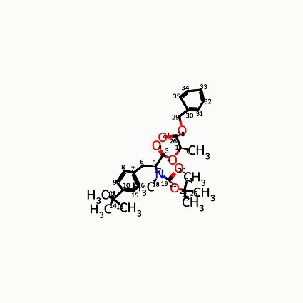 C[C@@H](OC(=O)[C@H](Cc1ccc(C(C)(C)C)cc1)N(C)C(=O)OC(C)(C)C)C(=O)OCc1ccccc1